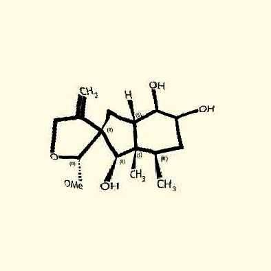 C=C1CO[C@@H](OC)[C@]12C[C@@H]1C(O)C(O)C[C@@H](C)[C@]1(C)[C@H]2O